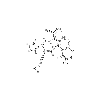 Cc1ccc(O)c(C)c1-n1c(N)c(C(N)=O)c2nc(-c3nccs3)c(C#CC3CC3)nc21